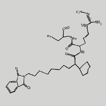 CC(C)CC(C=O)NC(=O)C(CCCN/C(N)=N\[N+](=O)[O-])NC(=O)C(CCCCCCCCN1C(=O)c2ccccc2C1=O)C1CCCC1